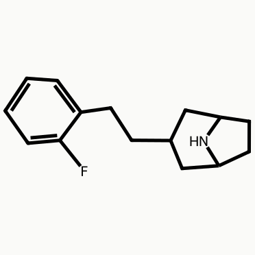 Fc1ccccc1CCC1CC2CCC(C1)N2